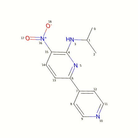 CC(C)Nc1nc(-c2ccncc2)ccc1[N+](=O)[O-]